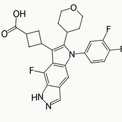 O=C(O)C1CC(c2c(C3CCOCC3)n(-c3ccc(F)c(F)c3)c3cc4cn[nH]c4c(F)c23)C1